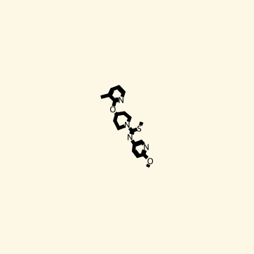 COc1ccc(N=C(SC)N2CCC(Oc3ncccc3C)CC2)cn1